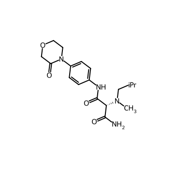 CC(C)CN(C)[C@H](C(N)=O)C(=O)Nc1ccc(N2CCOCC2=O)cc1